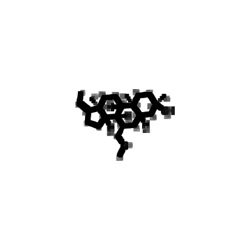 C/C=C1/CC[C@H]2[C@@H]3[C@H](COC)C[C@H]4C[C@](C)(O)CC[C@]4(C)[C@H]3CC[C@]12C